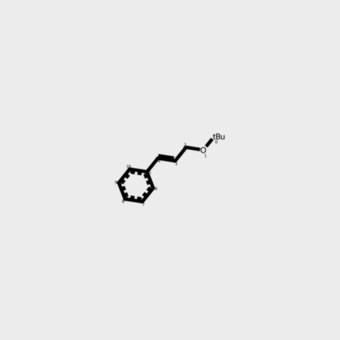 CC(C)(C)O[CH]C=Cc1ccccc1